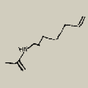 C=CCCCCNC(=C)C